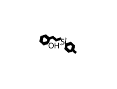 Cc1ccc([Si](C)(C)CCCc2ccccc2O)cc1